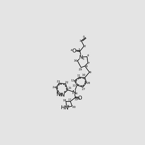 C=CCC(=O)N1CCC(Cc2ccc(N(C(=O)C3CNC3)c3cccnn3)cc2)CC1